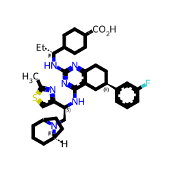 CC[C@@H](Nc1nc2c(c(N[C@@H](CN3C4CCC[C@@H]3CC4)c3csc(C)n3)n1)C[C@H](c1cccc(F)c1)CC2)C1CCC(C(=O)O)CC1